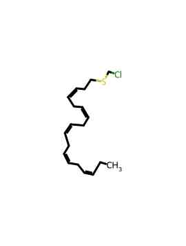 CC/C=C\C/C=C\C/C=C\C/C=C\C/C=C\CCSCCl